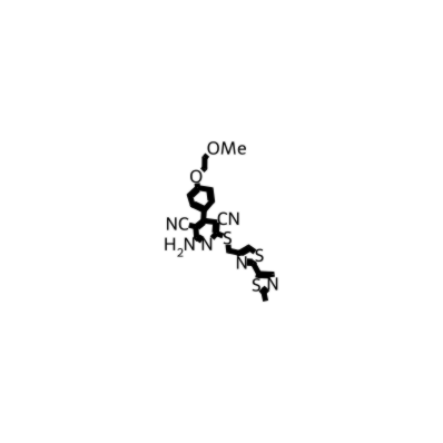 COCCOc1ccc(-c2c(C#N)c(N)nc(SCc3csc(-c4cnc(C)s4)n3)c2C#N)cc1